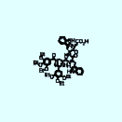 CCOc1cc(C(=O)NCC(NC(=O)c2cc(OCC)c(OCC)c(OCC)c2)C(=O)N[C@H](Cc2c[nH]c3ccccc23)C(=O)N[C@H](Cc2c[nH]c3ccccc23)C(=O)NCC(=O)O)cc(OCC)c1OCC